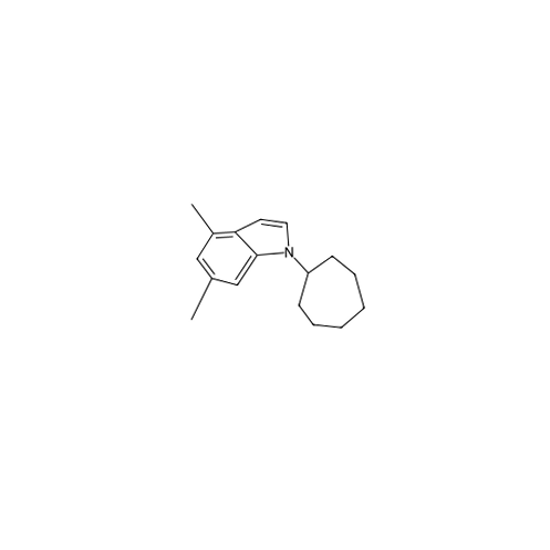 Cc1cc(C)c2ccn(C3CCCCCC3)c2c1